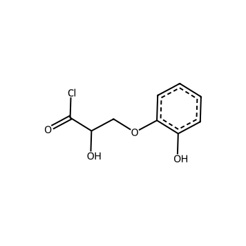 O=C(Cl)C(O)COc1ccccc1O